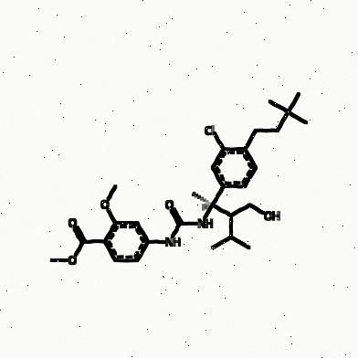 COC(=O)c1ccc(NC(=O)N[C@@](C)(c2ccc(CCC(C)(C)C)c(Cl)c2)C(CO)C(C)C)cc1OC